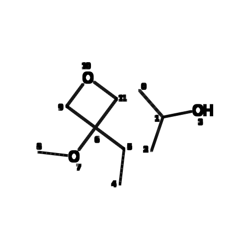 CC(C)O.CCC1(OC)COC1